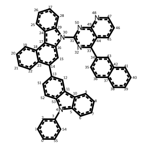 c1ccc(-n2c3ccccc3c3cc(-c4cc5c(c6ccccc46)c4ccccc4n5-c4nc(-c5ccc6ccccc6c5)c5cccnc5n4)ccc32)cc1